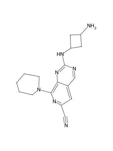 N#Cc1cc2cnc(NC3CC(N)C3)nc2c(N2CCCCC2)n1